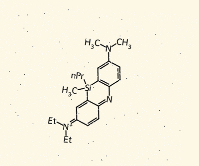 CCC[Si]1(C)C2=CC(=[N+](CC)CC)C=CC2=Nc2ccc(N(C)C)cc21